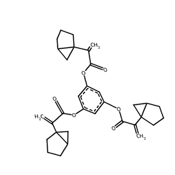 C=C(C(=O)Oc1cc(OC(=O)C(=C)C23CCCC2C3)cc(OC(=O)C(=C)C23CCCC2C3)c1)C12CCCC1C2